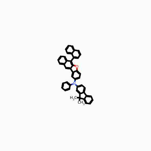 CC1(C)c2ccccc2-c2ccc(N(c3ccccc3)c3ccc4oc5c(-c6cccc7ccccc67)c6ccccc6cc5c4c3)cc21